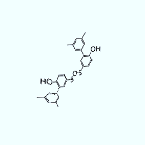 Cc1cc(C)cc(-c2cc(SOSc3ccc(O)c(-c4cc(C)cc(C)c4)c3)ccc2O)c1